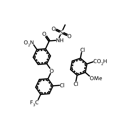 COc1c(Cl)ccc(Cl)c1C(=O)O.CS(=O)(=O)NC(=O)c1cc(Oc2ccc(C(F)(F)F)cc2Cl)ccc1[N+](=O)[O-]